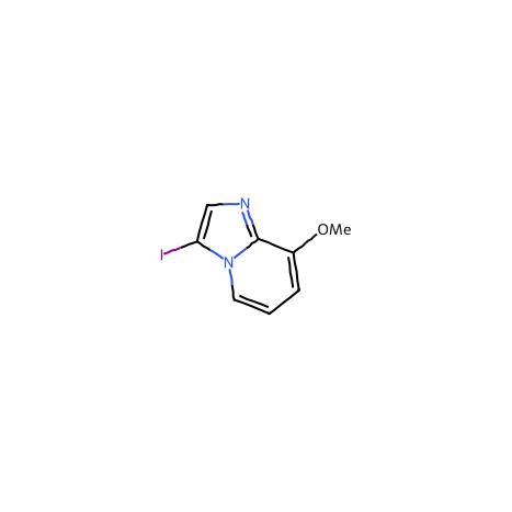 COc1cccn2c(I)cnc12